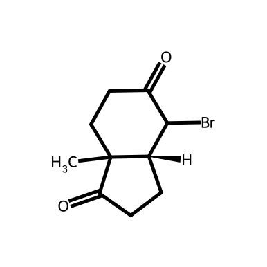 CC12CCC(=O)C(Br)[C@@H]1CCC2=O